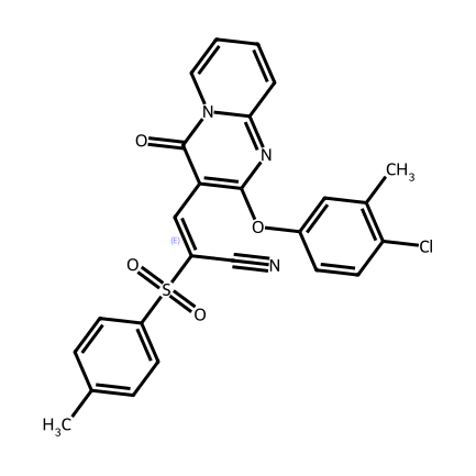 Cc1ccc(S(=O)(=O)/C(C#N)=C/c2c(Oc3ccc(Cl)c(C)c3)nc3ccccn3c2=O)cc1